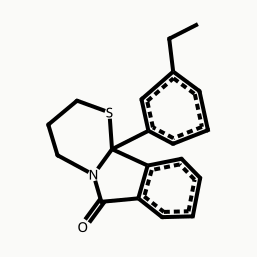 CCc1cccc(C23SCCCN2C(=O)c2ccccc23)c1